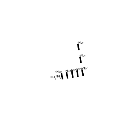 CCCCCCCCCC.CCCCCCCCCC.CCCCCCCCCC.CCCCCCCCCC.CCCCCCCCCC.CCCCCCCCCC.CCCCCCCCCC.N.N